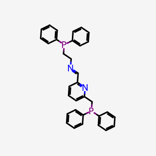 C(=N\CCP(c1ccccc1)c1ccccc1)/c1cccc(CP(c2ccccc2)c2ccccc2)n1